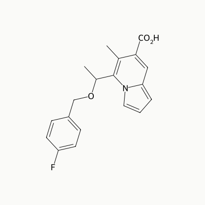 Cc1c(C(=O)O)cc2cccn2c1C(C)OCc1ccc(F)cc1